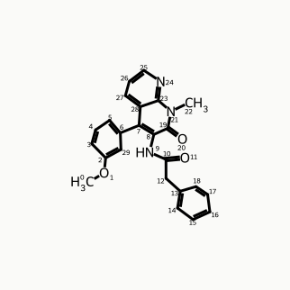 COc1cccc(-c2c(NC(=O)Cc3ccccc3)c(=O)n(C)c3ncccc23)c1